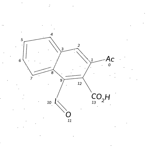 CC(=O)c1cc2ccccc2c(I=O)c1C(=O)O